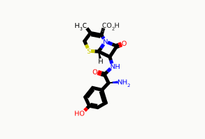 CC1=C(C(=O)O)N2C(=O)C(NC(=O)[C@@H](N)c3ccc(O)cc3)[C@@H]2SC1